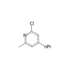 CCCc1cc(C)nc(Cl)c1